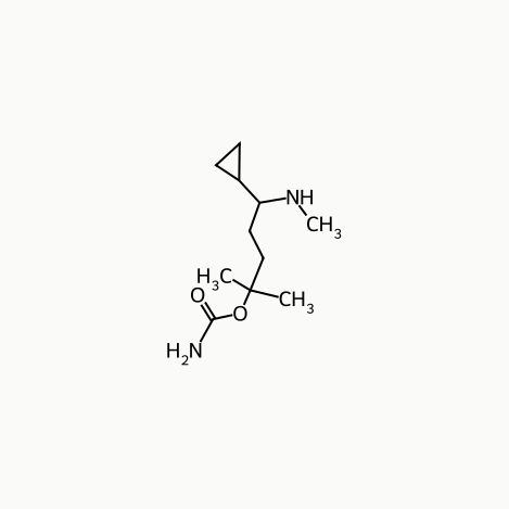 CNC(CCC(C)(C)OC(N)=O)C1CC1